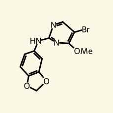 COc1nc(Nc2ccc3c(c2)OCO3)ncc1Br